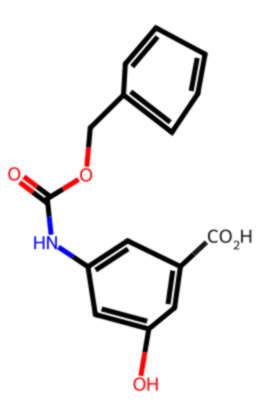 O=C(Nc1cc(O)cc(C(=O)O)c1)OCc1ccccc1